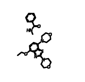 CCOc1ccc(N2CCOCC2)c2sc(N3CCOCC3)nc12.CNC(=O)c1ccccc1